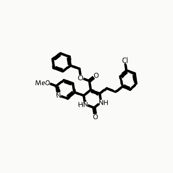 COc1ccc(C2NC(=O)NC(CCc3cccc(Cl)c3)=C2C(=O)OCc2ccccc2)cn1